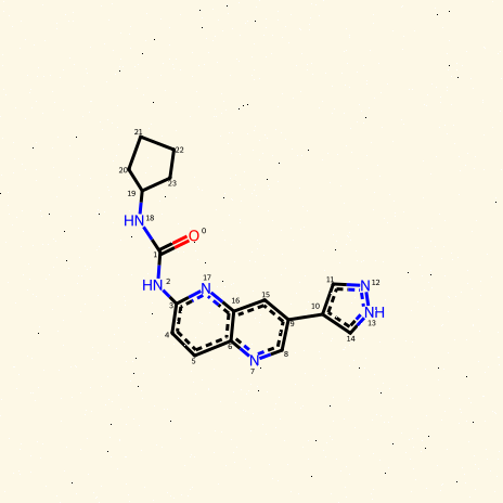 O=C(Nc1ccc2ncc(-c3cn[nH]c3)cc2n1)NC1CCCC1